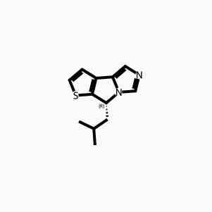 CC(C)C[C@@H]1c2sccc2-c2cncn21